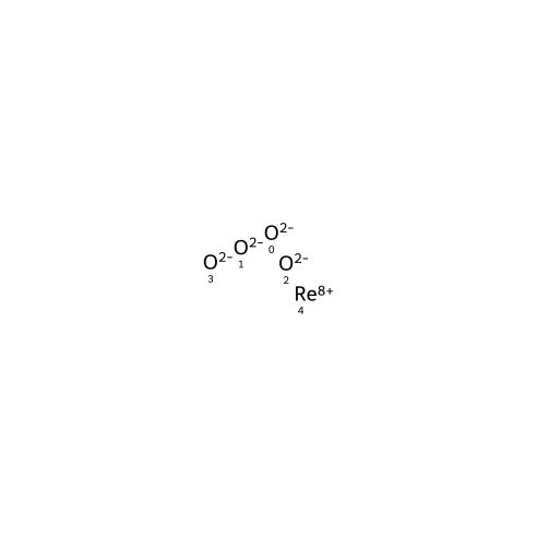 [O-2].[O-2].[O-2].[O-2].[Re+8]